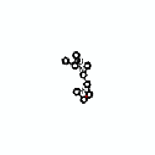 c1ccc(-c2ccccc2-n2c3ccccc3c3ccc(-c4ccc5c(c4)c4ccccc4n5-c4ccc(-c5ccccc5)c5c4oc4ccccc45)cc32)cc1